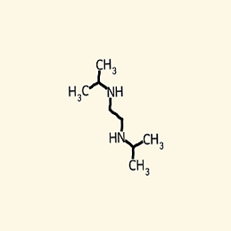 CC(C)NCCNC(C)C